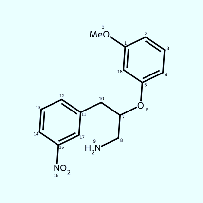 COc1cccc(OC(CN)Cc2cccc([N+](=O)[O-])c2)c1